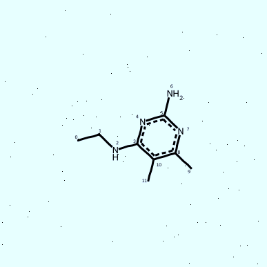 CCNc1nc(N)nc(C)c1C